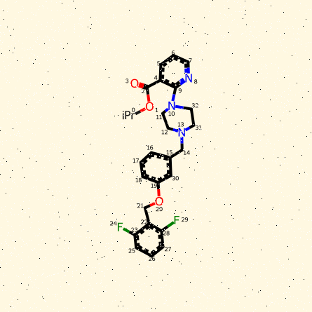 CC(C)OC(=O)c1cccnc1N1CCN(Cc2cccc(OCc3c(F)cccc3F)c2)CC1